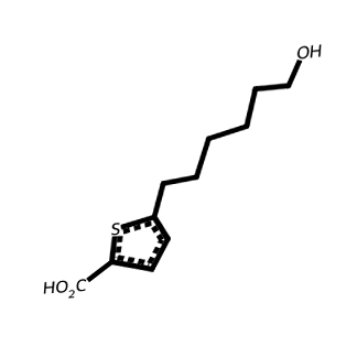 O=C(O)c1ccc(CCCCCCO)s1